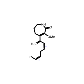 C=C(/C=C\C/C=C\CC)C1=C(OC)C(=O)NCCC1